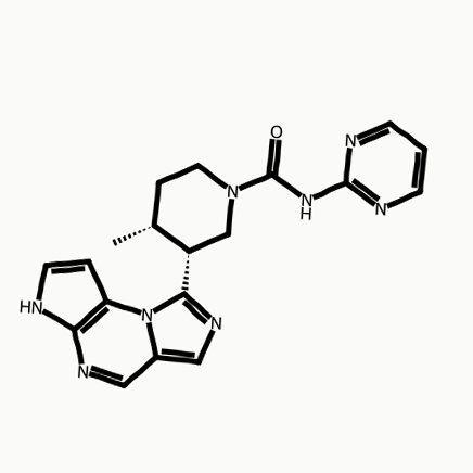 C[C@@H]1CCN(C(=O)Nc2ncccn2)C[C@@H]1c1ncc2cnc3[nH]ccc3n12